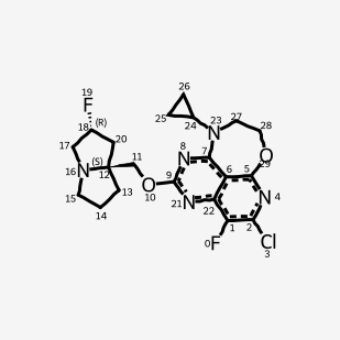 Fc1c(Cl)nc2c3c(nc(OC[C@@]45CCCN4C[C@H](F)C5)nc13)N(C1CC1)CCO2